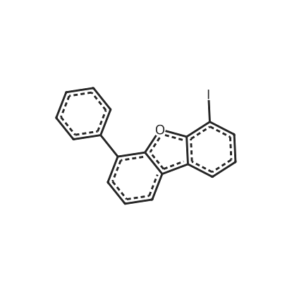 Ic1cccc2c1oc1c(-c3ccccc3)cccc12